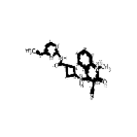 C=Cc1ccnc(NC(=O)C2CC(Nc3c(C#N)c(=O)n(C)c4ccccc34)C2)n1